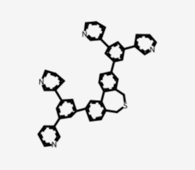 c1cncc(-c2cc(-c3cccnc3)cc(-c3ccc4c(c3)CSCc3ccc(-c5cc(-c6cccnc6)cc(-c6cccnc6)c5)cc3-4)c2)c1